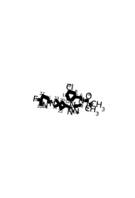 CN(C)C(=O)N1Cc2cc(Cl)ccc2-n2c(nnc2C2CC3(C2)CN(c2ccc(F)cn2)C3)C1